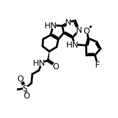 COc1ccc(F)cc1Nc1ncnc2[nH]c3c(c12)C[C@@H](C(=O)NCCCS(C)(=O)=O)CC3